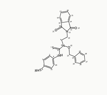 CSc1ccc(NC(=S)N(CCN2C(=O)c3ccccc3C2=O)OCc2ccccc2)cc1